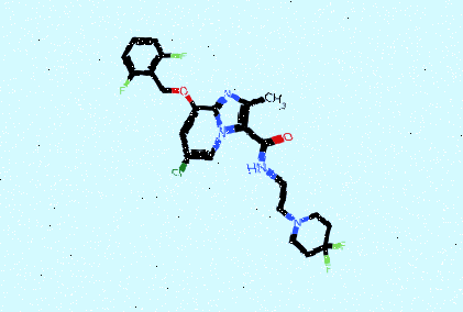 Cc1nc2c(OCc3c(F)cccc3F)cc(Cl)cn2c1C(=O)NCCN1CCC(F)(F)CC1